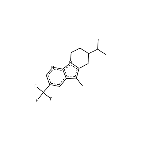 Cc1c2n(c3ncc(C(F)(F)F)cc13)CCC(C(C)C)C2